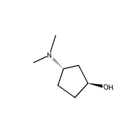 CN(C)[C@H]1CC[C@H](O)C1